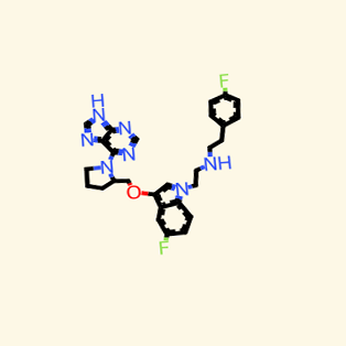 Fc1ccc(CCNCCn2cc(OCC3CCCN3c3ncnc4[nH]cnc34)c3cc(F)ccc32)cc1